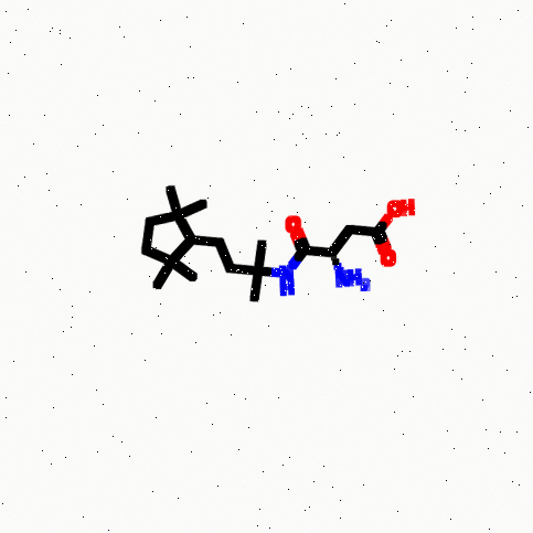 CC(C)(CCC1C(C)(C)CCC1(C)C)NC(=O)[C@@H](N)CC(=O)O